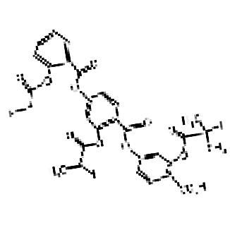 CC(I)C(=O)Oc1cc(OC(=O)c2ccccc2OC(=O)CI)ccc1C(=O)Oc1ccc(C(=O)O)c(OC(=O)C(C)(C)I)c1